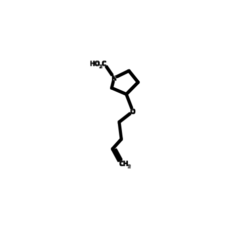 C=CCCOC1CCN(C(=O)O)C1